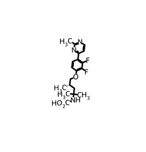 Cc1nccc(-c2ccc(OC[C@@H](C)CC(C)(C)NC(=O)O)c(F)c2F)n1